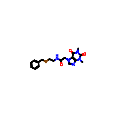 Cn1c(=O)c2c(ncn2CC(=O)NCCSCc2ccccc2)n(C)c1=O